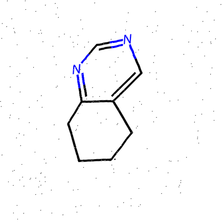 [CH]1CCc2ncncc2C1